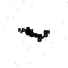 O=C(NS(=O)(=O)CCC(F)(F)F)c1ccc(N2CCN(C(=O)c3ccccc3C#Cc3cccc(O)c3)CC2)nn1